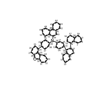 c1ccc2c(-c3ccc4ccccc4c3-c3ccc(N(c4ccc(-c5cccc6oc7ccccc7c56)cc4)c4cc5ccccc5c5ccccc45)cc3)cccc2c1